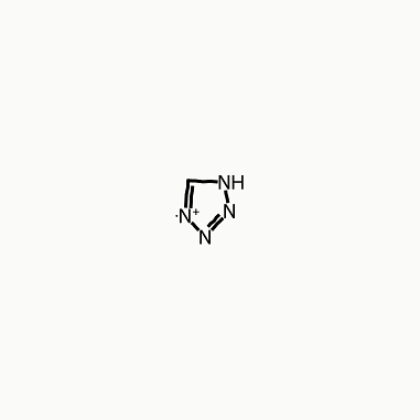 C1=[N+]N=NN1